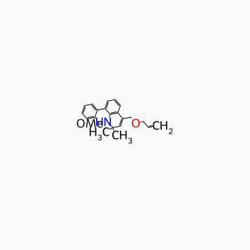 C=CCOCC1=CC(C)(C)Nc2c1cccc2-c1ccccc1OC